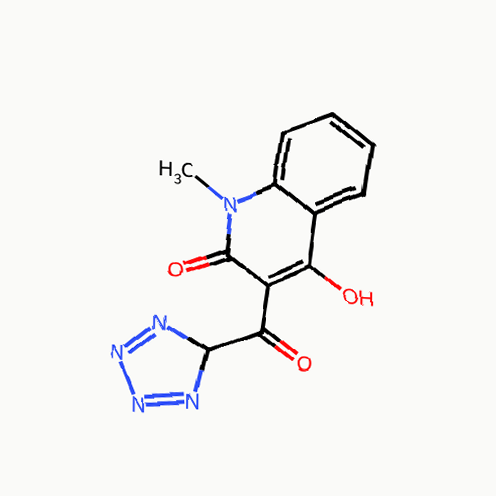 Cn1c(=O)c(C(=O)C2N=NN=N2)c(O)c2ccccc21